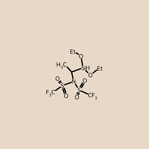 CCO[SiH](OCC)C(C)N(S(=O)(=O)C(F)(F)F)S(=O)(=O)C(F)(F)F